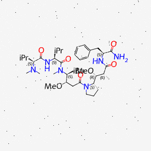 CCC(C)[C@@H](C(CC(=O)N1CCC[C@H]1[C@H](OC)[C@@H](C)C(=O)N[C@@H](Cc1ccccc1)C(N)=O)OC)N(C)C(=O)[C@@H](NC(=O)[C@H](C(C)C)N(C)C)C(C)C